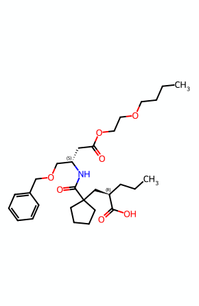 CCCCOCCOC(=O)C[C@@H](COCc1ccccc1)NC(=O)C1(C[C@@H](CCC)C(=O)O)CCCC1